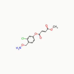 COC(=O)/C=C/C(=O)Oc1ccc(CON)c(Cl)c1